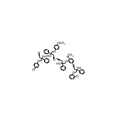 COc1ccc(OCC(O)(CC#N)c2ccccc2)cc1.COc1ccccc1OCC(O)(CC#N)c1ccccc1.N#CCC(O)(COc1ccc(Cl)cc1)c1ccccc1.N#CCC(O)(COc1ccccc1Cl)c1ccccc1